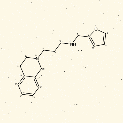 c1coc(CNCCCN2CCc3ccccc3C2)c1